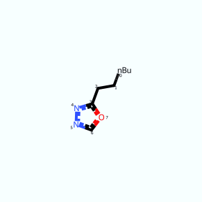 CCCCCCc1nnco1